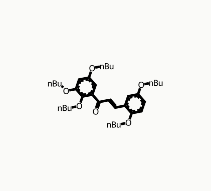 CCCCOc1ccc(OCCCC)c(C=CC(=O)c2cc(OCCCC)cc(OCCCC)c2OCCCC)c1